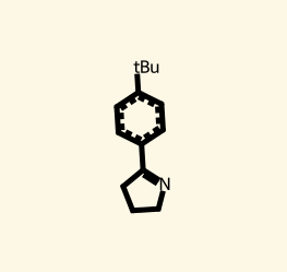 CC(C)(C)c1ccc(C2=NCCC2)cc1